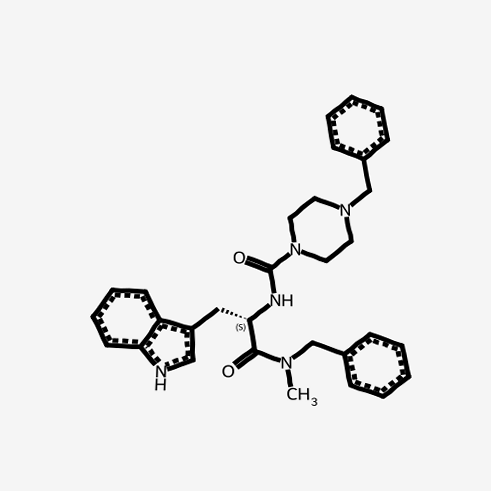 CN(Cc1ccccc1)C(=O)[C@H](Cc1c[nH]c2ccccc12)NC(=O)N1CCN(Cc2ccccc2)CC1